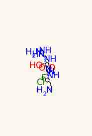 C[C@H](N)CCCc1cc(Cl)c(F)c(-c2cc3cn(-c4ccc(CN[C@@H](C)CCNC(=N)N)c(CC(=O)O)c4)c(=O)nc3[nH]2)c1